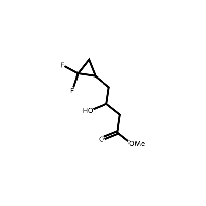 COC(=O)CC(O)CC1CC1(F)F